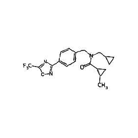 CC1CC1C(=O)N(Cc1ccc(-c2noc(C(F)(F)F)n2)cc1)CC1CC1